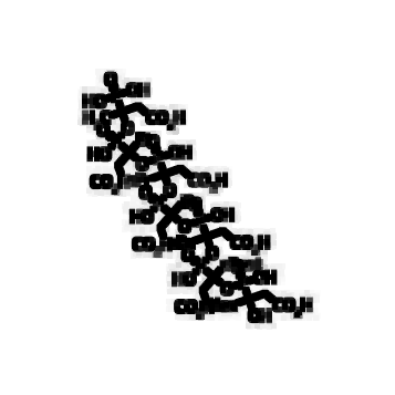 CCCCCCC(O)(CC(=O)O)P(=O)(O)OC(CCCCC)(CC(=O)O)P(=O)(O)OC(CCCC)(CC(=O)O)P(=O)(O)OC(CC(=O)O)(C(C)C)P(=O)(O)OC(CCC)(CC(=O)O)P(=O)(O)OC(CC)(CC(=O)O)P(=O)(O)OC(C)(CC(=O)O)P(=O)(O)O